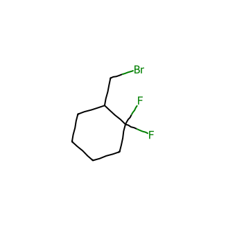 FC1(F)CCCCC1CBr